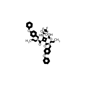 CCCN(Cc1ccc(Oc2ccccc2)cc1)C(=O)[C@H]1[C@@H](C(=O)O)[C@H](NS(=O)(=O)C(F)(F)F)[C@@H]1C(=O)N(CCC)Cc1ccc(Oc2ccccc2)cc1